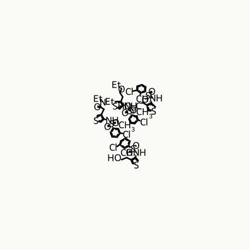 CCN(CC)C(=O)Cc1cscc1NS(=O)(=O)c1cccc(Cl)c1C.CCOCCc1cscc1NS(=O)(=O)c1cccc(Cl)c1C.Cc1c(Cl)cccc1S(=O)(=O)Nc1cscc1CC(=O)O.Cc1c(Cl)cccc1S(=O)(=O)Nc1cscc1CCO